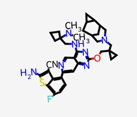 CN(C)C1(CNc2nc(OCC3(CN4CC5CC6CC6C(C5)C4)CC3)nc3cc(-c4ccc(F)c5sc(N)c(C#N)c45)ncc23)CCC1